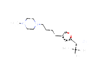 CN1CCN(CCCCc2coc([C@H](N)C(C)(C)C)c2)CC1